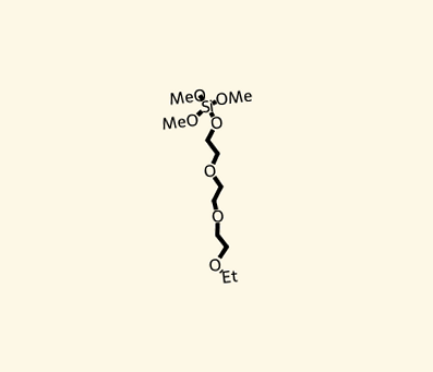 CCOCCOCCOCCO[Si](OC)(OC)OC